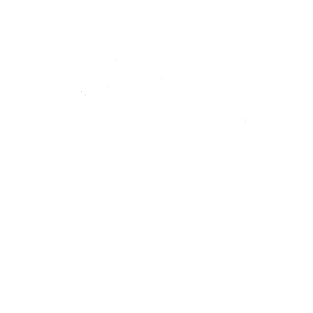 O=C(Nc1cncc(-c2ccc3[nH]nc(-c4cc5c(N6CCCCC6)ccnc5[nH]4)c3c2)c1)C1CCCC1